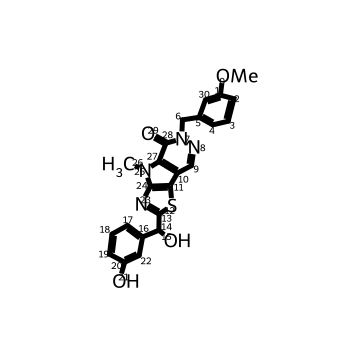 COc1cccc(Cn2ncc3c4sc(C(O)c5cccc(O)c5)nc4n(C)c3c2=O)c1